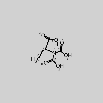 CC[C@@H](C(=O)O)N(C(=O)O)C(=O)O